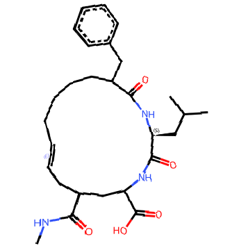 CNC(=O)C1C/C=C/CCCCC(Cc2ccccc2)C(=O)N[C@@H](CC(C)C)C(=O)NC(C(=O)O)C1